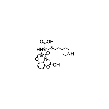 O=C(O)CN1C(=O)[C@@H](N[C@@H](CSCCC2CCNCC2)C(=O)O)COc2ccccc21